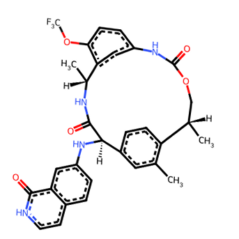 Cc1cc2ccc1[C@@H](C)COC(=O)Nc1ccc(OC(F)(F)F)c(c1)[C@@H](C)NC(=O)[C@@H]2Nc1ccc2cc[nH]c(=O)c2c1